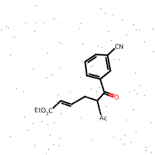 CCOC(=O)C=CCC(C(C)=O)C(=O)c1cccc(C#N)c1